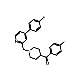 O=C(c1ccc(F)cc1)C1CCN(Cc2cc(-c3ccc(F)cc3)ccn2)CC1